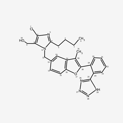 CCCCc1nc(Cl)c(CO)n1Cc1ccc2oc(-c3ccccc3-c3nnn[nH]3)c(C)c2c1